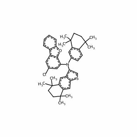 CC1(C)CCC(C)(C)c2cc(N(c3csc4cc5c(cc34)C(C)(C)CCC5(C)C)c3cc(Cl)cc4c3oc3ccccc34)ccc21